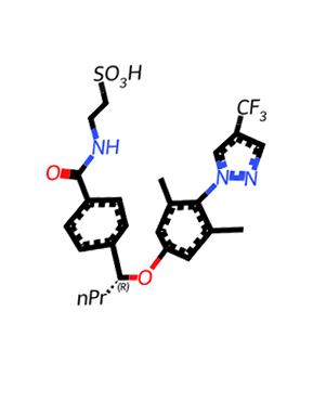 CCC[C@@H](Oc1cc(C)c(-n2cc(C(F)(F)F)cn2)c(C)c1)c1ccc(C(=O)NCCS(=O)(=O)O)cc1